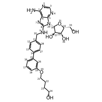 Nc1ncnc2c1nc(NCc1ccc(-c3cccc(OCCCCO)c3)cc1)n2[C@@H]1O[C@H](CO)[C@@H](O)[C@H]1O